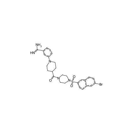 N=C(N)c1cccc(N2CCC(C(=O)N3CCN(S(=O)(=O)c4ccc5cc(Br)ccc5c4)CC3)CC2)c1